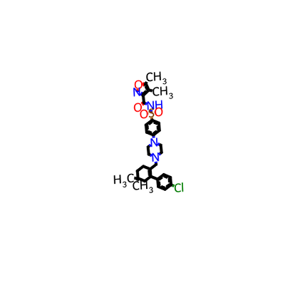 Cc1onc(C(=O)NS(=O)(=O)c2ccc(N3CCN(CC4=C(c5ccc(Cl)cc5)CC(C)(C)CC4)CC3)cc2)c1C